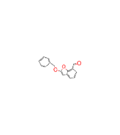 O=Cc1cccc2cc(OCc3ccccc3)oc12